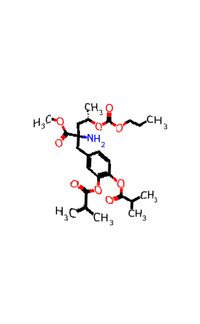 CCCOC(=O)O[C@@H](C)CC(N)(Cc1ccc(OC(=O)C(C)C)c(OC(=O)C(C)C)c1)C(=O)OC